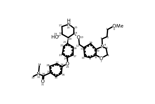 COCCCN1CCOc2ccc(CO[C@H]3CNC[C@@H](O)[C@@H]3c3ccc(Oc4ccc(C(=O)N(C)C)cc4)cc3)cc21